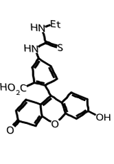 CCNC(=S)Nc1ccc(-c2c3ccc(=O)cc-3oc3cc(O)ccc23)c(C(=O)O)c1